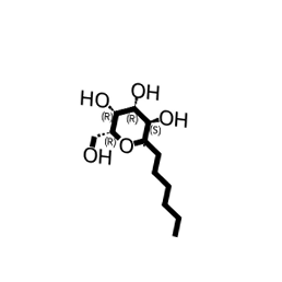 CCCCCC[C]1O[C@H](CO)[C@H](O)[C@H](O)[C@H]1O